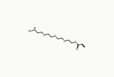 C=CC(=O)OCCOCCOCCOCCNCC